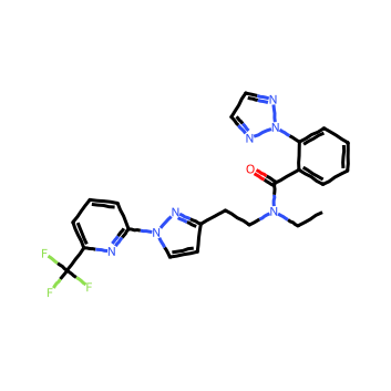 CCN(CCc1ccn(-c2cccc(C(F)(F)F)n2)n1)C(=O)c1ccccc1-n1nccn1